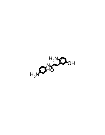 Nc1ccc(NC(=O)/C=C/c2cc(O)ccc2N)cc1